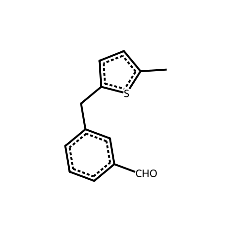 Cc1ccc(Cc2cccc(C=O)c2)s1